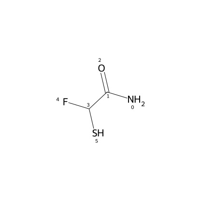 NC(=O)C(F)S